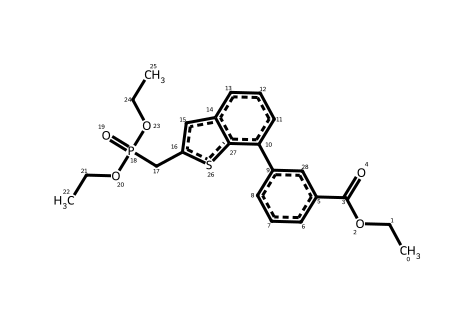 CCOC(=O)c1cccc(-c2cccc3cc(CP(=O)(OCC)OCC)sc23)c1